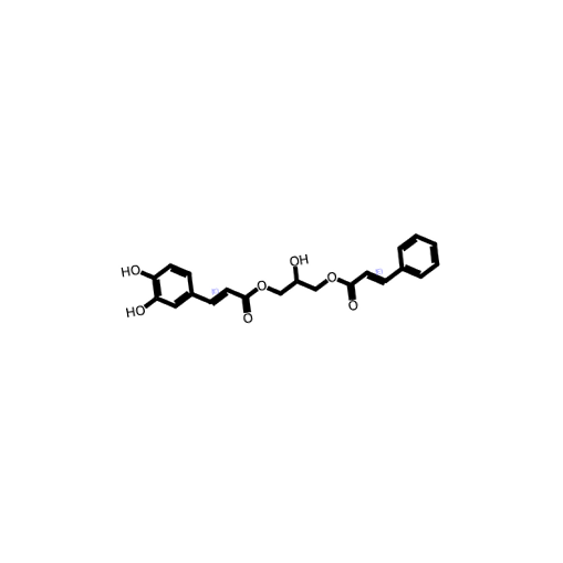 O=C(/C=C/c1ccccc1)OCC(O)COC(=O)/C=C/c1ccc(O)c(O)c1